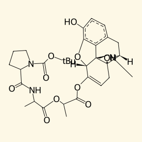 CC(NC(=O)C1CCCN1C(=O)OC(C)(C)C)C(=O)OC(C)C(=O)OC1=CC[C@@]2(O)[C@H]3Cc4ccc(O)c5c4[C@@]2(CCN3C)[C@H]1O5